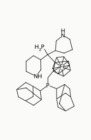 PC(C1CCCNC1)(C1CCCNC1)[C]12[CH]3[CH]4[CH]5[C]1(CP(C1C6CC7CC(C6)CC1C7)C1C6CC7CC(C6)CC1C7)[Fe]45321678[CH]2[CH]1[CH]6[CH]7[CH]28